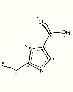 CCc1ncc(C(=O)O)s1